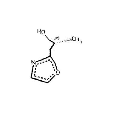 C[C@@H](O)c1ncco1